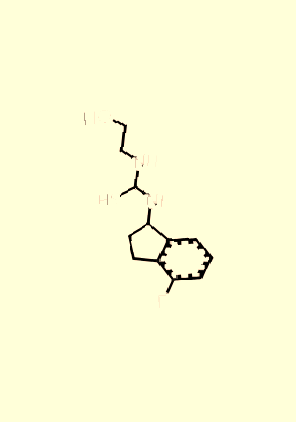 OCCNC(S)NC1CCc2c(F)cccc21